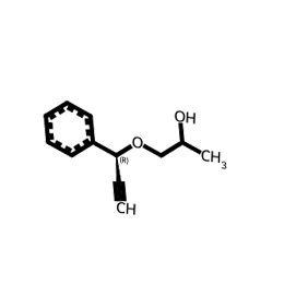 C#C[C@H](OCC(C)O)c1ccccc1